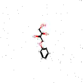 O=C(CO)C(=O)COc1ccccc1